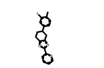 Cc1ccc(C2CCc3oc(-c4ccccn4)nc3C2)cc1F